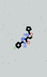 CCC(NC(=O)C1CCCC1)c1nnc(-c2ccc(F)cc2)[nH]c1=O